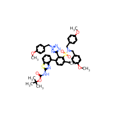 C#Cc1ccc(-c2cccc3sc(NC(=O)OC(C)(C)C)nc23)c(-c2nnn(Cc3ccc(OC)cc3)n2)c1S(=O)(=O)N(Cc1ccc(OC)cc1)Cc1ccc(OC)cc1